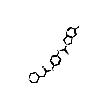 O=C(CC1CCOCC1)Nc1ccc(NC(=O)N2Cc3cc(F)cnc3C2)cc1